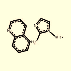 CCCCCCn1ccnc1C.c1ccc2ncccc2c1